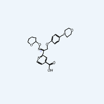 O=C(O)c1ccnc(/C(COc2ccc(N3CCOCC3)cc2)=N/OC2CCCCO2)c1